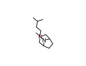 CC(C)CCCN1C2CCC1CN(C)C2